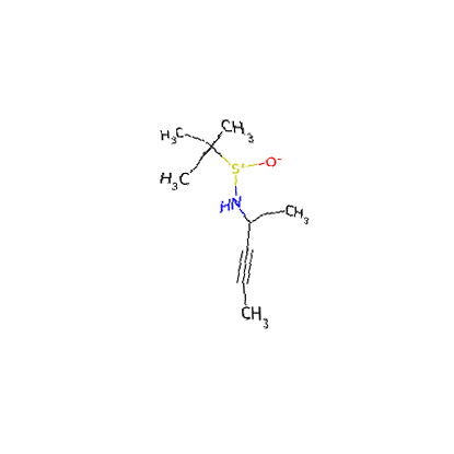 CC#CC(C)N[S+]([O-])C(C)(C)C